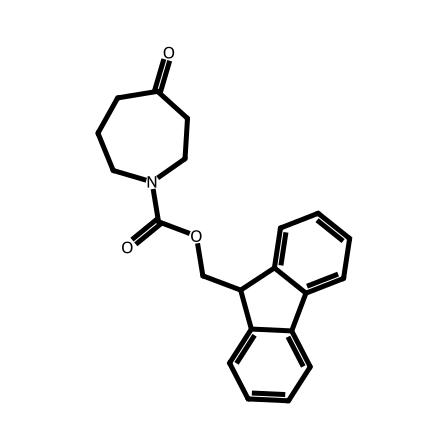 O=C1CCCN(C(=O)OCC2c3ccccc3-c3ccccc32)CC1